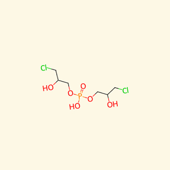 O=P(O)(OCC(O)CCl)OCC(O)CCl